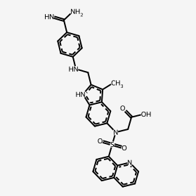 Cc1c(CNc2ccc(C(=N)N)cc2)[nH]c2ccc(N(CC(=O)O)S(=O)(=O)c3cccc4cccnc34)cc12